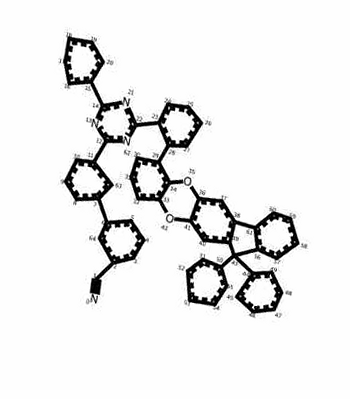 N#Cc1cccc(-c2cccc(-c3nc(-c4ccccc4)nc(-c4ccccc4-c4cccc5c4Oc4cc6c(cc4O5)C(c4ccccc4)(c4ccccc4)c4ccccc4-6)n3)c2)c1